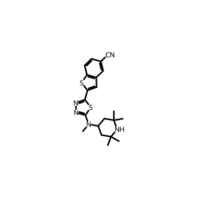 CN(c1nnc(-c2cc3cc(C#N)ccc3s2)s1)C1CC(C)(C)NC(C)(C)C1